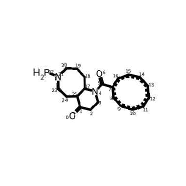 O=C1CCN(C(=O)c2ccccccccc2)C2CCCN(P)CCC12